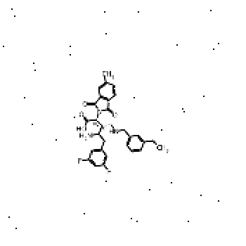 CCc1cccc(CNC[C@H](C(N)Cc2cc(F)cc(F)c2)[C@@H](C(=O)O)N2C(=O)c3ccc(C)cc3C2=O)c1